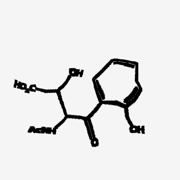 CC(=O)NC(C(=O)c1ccccc1O)C(O)C(=O)O